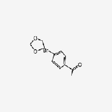 C1COCO1.CC(=O)c1ccc(Br)cc1